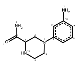 NC(=O)C1CN(c2cccc(N)c2)CCN1